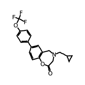 O=C1CN(CC2CC2)Cc2cc(-c3ccc(OC(F)(F)F)cc3)ccc2O1